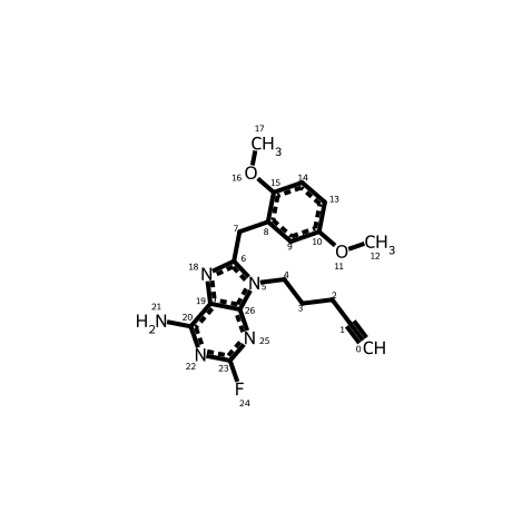 C#CCCCn1c(Cc2cc(OC)ccc2OC)nc2c(N)nc(F)nc21